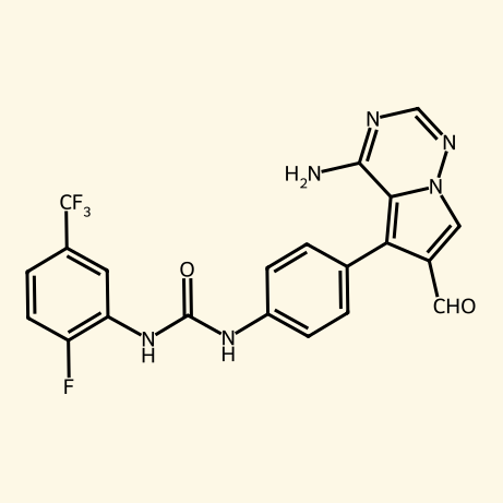 Nc1ncnn2cc(C=O)c(-c3ccc(NC(=O)Nc4cc(C(F)(F)F)ccc4F)cc3)c12